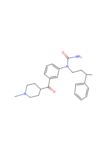 CC(CCN(C(N)=O)c1cccc(C(=O)C2CCN(C)CC2)c1)c1ccccc1